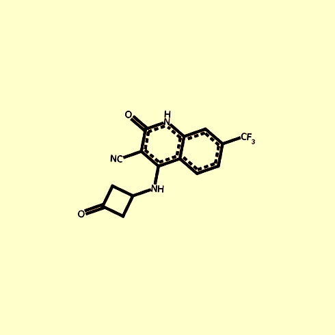 N#Cc1c(NC2CC(=O)C2)c2ccc(C(F)(F)F)cc2[nH]c1=O